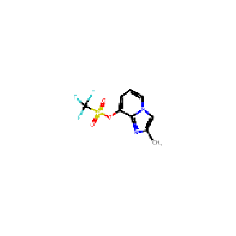 Cc1cn2cccc(OS(=O)(=O)C(F)(F)F)c2n1